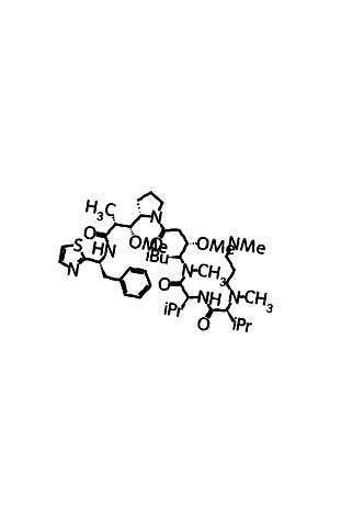 CC[C@H](C)[C@@H]([C@H](CC(=O)N1CCC[C@H]1[C@H](OC)[C@@H](C)C(=O)N[C@@H](Cc1ccccc1)c1nccs1)OC)N(C)C(=O)[C@@H](NC(=O)[C@H](C(C)C)N(C)CCCNC)C(C)C